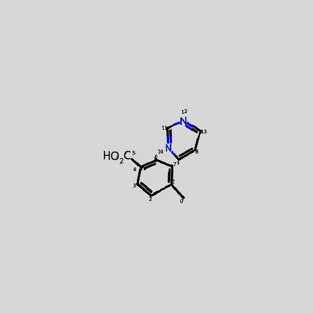 Cc1ccc(C(=O)O)cc1.c1cncnc1